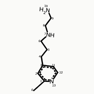 Cc1cc(CCCNCCN)ccn1